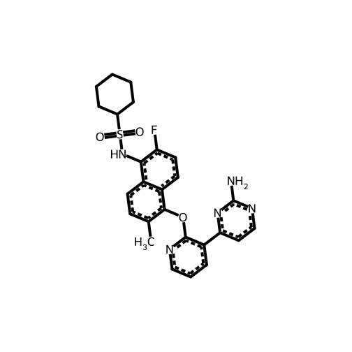 Cc1ccc2c(NS(=O)(=O)C3CCCCC3)c(F)ccc2c1Oc1ncccc1-c1ccnc(N)n1